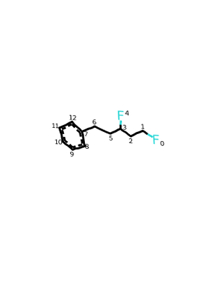 FCCC(F)CCc1ccccc1